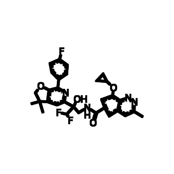 Cc1cc2cc(C(=O)NCC(O)(c3cc4c(c(-c5ccc(F)cc5)n3)OCC4(C)C)C(F)F)cc(OC3CC3)c2nn1